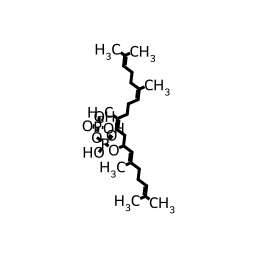 CC(C)=CCCC(C)=CCCC(C)=CCC(/C=C(\C)CCC=C(C)C)OP(=O)(O)OP(=O)(O)O